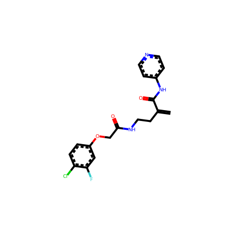 C=C(CCNC(=O)COc1ccc(Cl)c(F)c1)C(=O)Nc1ccncc1